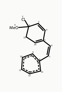 COC1(Cl)C=CC(/C=C\c2ccccc2)=CC1